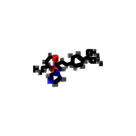 CC1CCOC(CCc2ccc(C(C)C)cc2)(Cn2ccnc2)O1